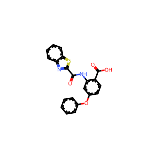 O=C(Nc1cc(Oc2ccccc2)ccc1C(=O)O)c1nc2ccccc2s1